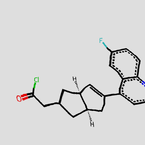 O=C(Cl)CC1C[C@@H]2CC(c3ccnc4ccc(F)cc34)=C[C@@H]2C1